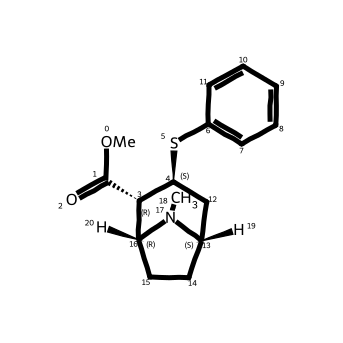 COC(=O)[C@@H]1[C@@H](Sc2ccccc2)C[C@@H]2CC[C@H]1N2C